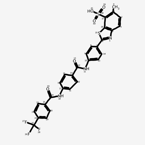 Cc1ccc2nc(-c3ccc(NC(=O)c4ccc(NC(=O)c5ccc(C(F)(F)F)cc5)cc4)cc3)sc2c1S(=O)(=O)O